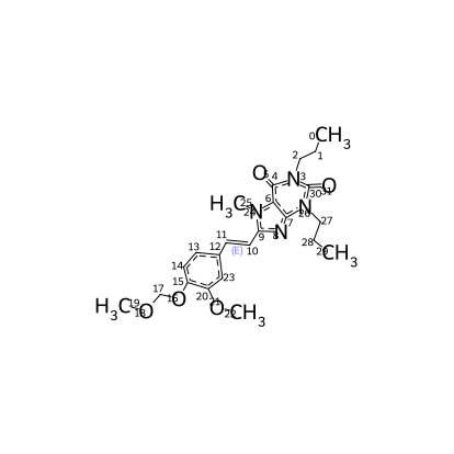 CCCn1c(=O)c2c(nc(/C=C/c3ccc(OCOC)c(OC)c3)n2C)n(CCC)c1=O